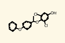 CC(Oc1c(Cl)cc(O)cc1Cl)c1ccc(Oc2ccccc2)cc1